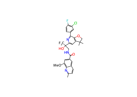 COc1cc(C(=O)NCC(O)(c2cc3c(c(-c4ccc(F)c(Cl)c4)n2)OCC3(C)C)C(F)(F)F)cc2ccc(C)nc12